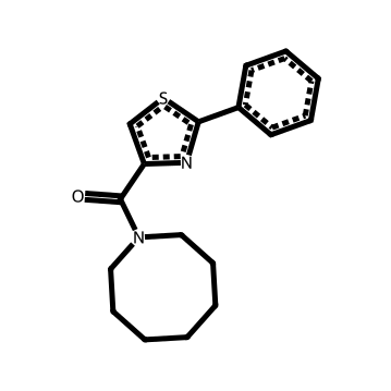 O=C(c1csc(-c2ccccc2)n1)N1CCCCCCC1